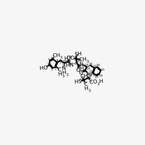 Cc1cc(O)cc(C)c1C[C@H](N)C(=O)N[C@@H](C(=O)N[C@@H](Cc1ccccc1)C(=O)N[C@@H](C(=O)O)C(C)(C)S)C(C)(C)S